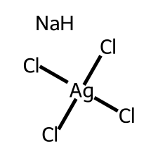 [Cl][Ag]([Cl])([Cl])[Cl].[NaH]